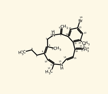 C=C1NC/C(C)=C(CCC)/C=C(/C)N/C=C/C(=C/C)c2c(C)cc(Br)cc21